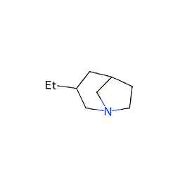 CCC1CC2CCN(C1)C2